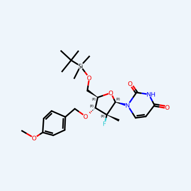 COc1ccc(CO[C@@H]2[C@@H](CO[Si](C)(C)C(C)(C)C)O[C@@H](n3ccc(=O)[nH]c3=O)[C@]2(C)F)cc1